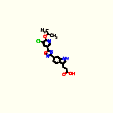 CC(C)Oc1ncc(-c2nc(-c3ccc4c(CCC(=O)O)c[nH]c4c3)no2)cc1Cl